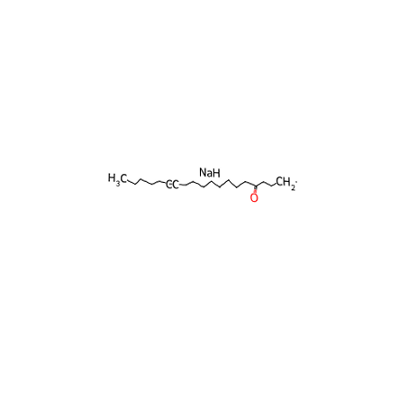 [CH2]CCC(=O)CCCCCCCCCCCCCCC.[NaH]